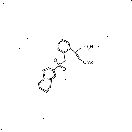 COC=C(C(=O)O)c1ccccc1CS(=O)(=O)c1ccc2ccccc2c1